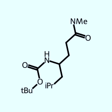 CNC(=O)CCC(CC(C)C)NC(=O)OC(C)(C)C